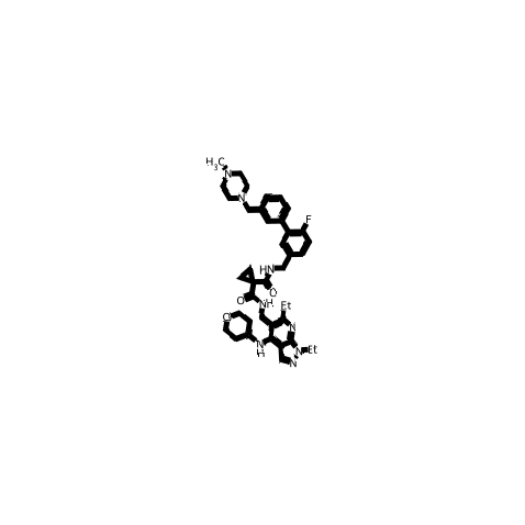 CCc1nc2c(cnn2CC)c(NC2CCOCC2)c1CNC(=O)C1(C(=O)NCc2ccc(F)c(-c3cccc(CN4CCN(C)CC4)c3)c2)CC1